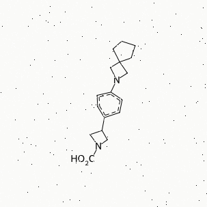 O=C(O)N1CC(c2ccc(N3CC4(CCCC4)C3)cc2)C1